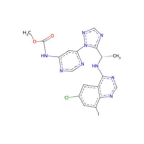 COC(=O)Nc1cc(-n2ncnc2[C@H](C)Nc2ncnc3c(I)cc(Cl)cc23)ncn1